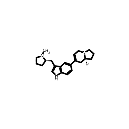 CN1CCC[C@@H]1Cc1c[nH]c2ccc(C3=CCN4CCC[C@H]4C3)cc12